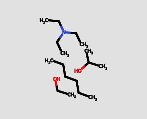 CC(C)O.CCCCCC.CCN(CC)CC.CCO